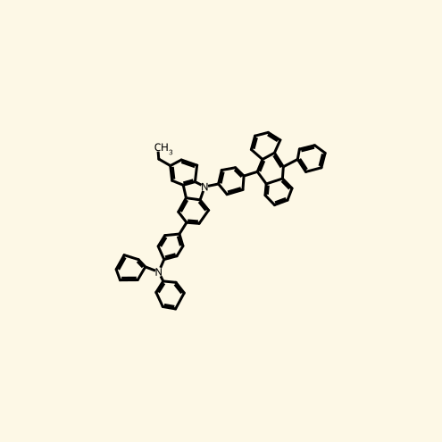 CCc1ccc2c(c1)c1cc(-c3ccc(N(c4ccccc4)c4ccccc4)cc3)ccc1n2-c1ccc(-c2c3ccccc3c(-c3ccccc3)c3ccccc23)cc1